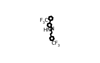 FC(F)(F)c1ccc(C=Cc2nc3cc(-c4ccccc4C(F)(F)F)ccc3[nH]2)cc1